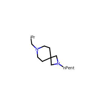 CCCCCN1CC2(CCN(CC(C)C)CC2)C1